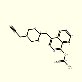 C#CCN1CCN(Cc2ccc(OC(N)=O)c3ncccc23)CC1